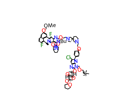 C#Cc1c(F)ccc2cc(OCOC)cc(-c3ncc4c(N5CC6CCC(C5)N6C(=O)OC(C)(C)C)nc(OCCN5CC[C@@]6(CCCN(CCOc7ccc(-c8nc9c(cc8Cl)nc(O[C@@H]8CO[C@H]%10[C@@H]8OC[C@H]%10OC8CCCCO8)n9COCC[Si](C)(C)C)cc7)C6)C5)nc4c3F)c12